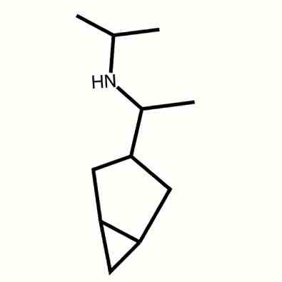 CC(C)NC(C)C1CC2CC2C1